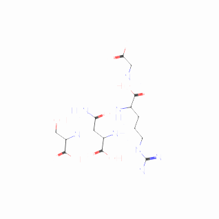 N=C(N)NCCCC(N)C(=O)O.NC(=O)CC(N)C(=O)O.NC(CO)C(=O)O.NCC(=O)O